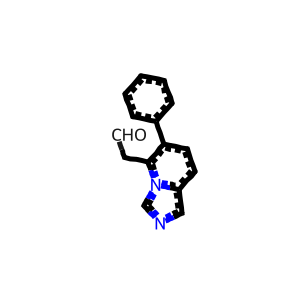 O=CCc1c(-c2ccccc2)ccc2cncn12